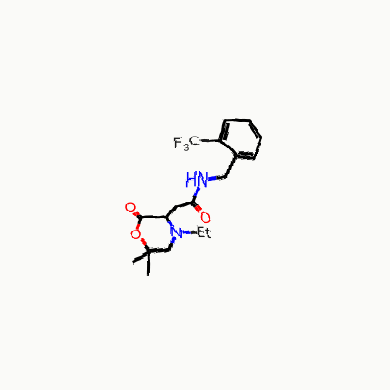 CCN1CC(C)(C)OC(=O)C1CC(=O)NCc1ccccc1C(F)(F)F